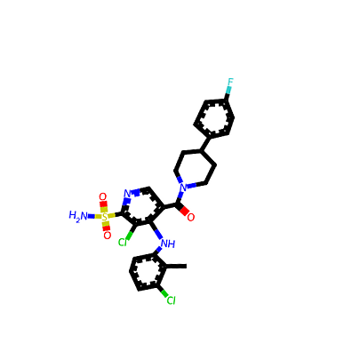 Cc1c(Cl)cccc1Nc1c(C(=O)N2CCC(c3ccc(F)cc3)CC2)cnc(S(N)(=O)=O)c1Cl